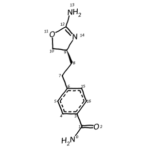 NC(=O)c1ccc(CC[C@H]2COC(N)=N2)cc1